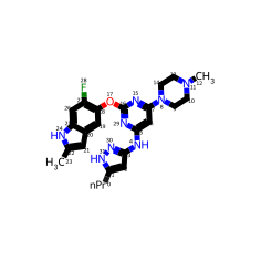 CCCc1cc(Nc2cc(N3CCN(C)CC3)nc(Oc3cc4cc(C)[nH]c4cc3F)n2)n[nH]1